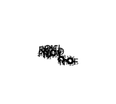 C[C@H]1CN(C(=O)c2ccnc(-c3ccc(F)cc3)c2)Cc2cnc(C(C)(O)C(F)(F)F)n21.Cl